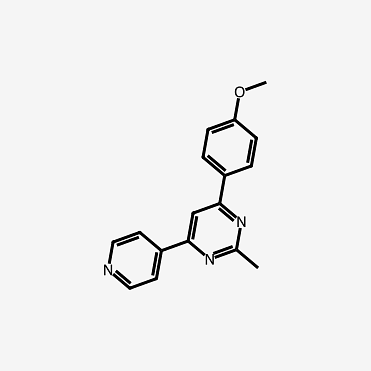 COc1ccc(-c2cc(-c3ccncc3)nc(C)n2)cc1